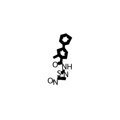 Cc1cc(-c2ccccc2)ccc1C(=O)Nc1ncc(N=O)s1